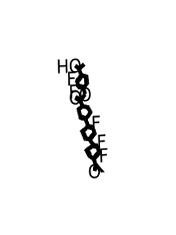 CC(O)c1ccc(OC(=O)C2CC=C(c3ccc(-c4ccc(C5CO5)c(F)c4F)cc3F)CC2)c(F)c1F